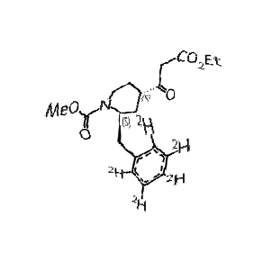 [2H]c1c([2H])c([2H])c(C[C@@H]2C[C@@H](C(=O)CC(=O)OCC)CCN2C(=O)OC)c([2H])c1[2H]